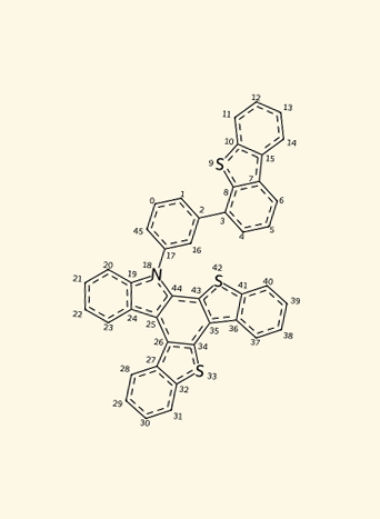 c1cc(-c2cccc3c2sc2ccccc23)cc(-n2c3ccccc3c3c4c5ccccc5sc4c4c5ccccc5sc4c32)c1